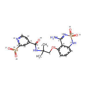 CC(C)(COc1cccc2c1C(N)=NS(=O)(=O)N2)NC(=O)c1ccnc([SH](=O)=O)c1